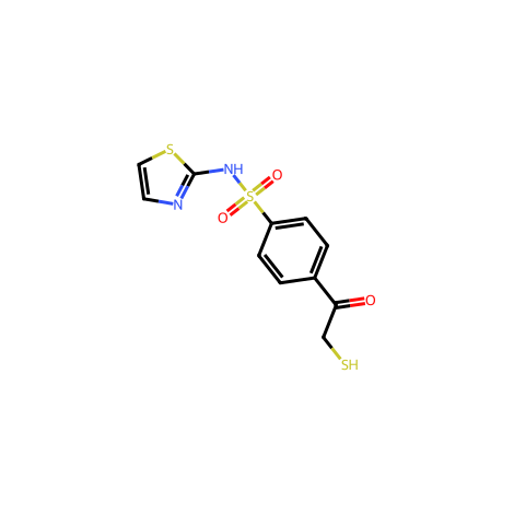 O=C(CS)c1ccc(S(=O)(=O)Nc2nccs2)cc1